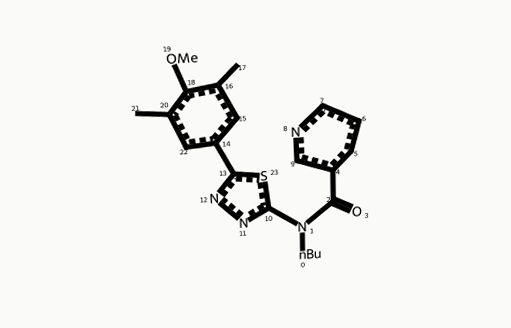 CCCCN(C(=O)c1cccnc1)c1nnc(-c2cc(C)c(OC)c(C)c2)s1